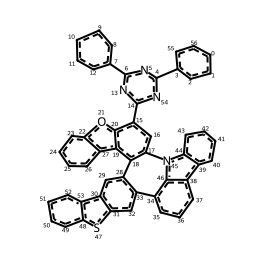 c1ccc(-c2nc(-c3ccccc3)nc(-c3cc4c(c5c3oc3ccccc35)-c3cc5c(cc3-c3cccc6c7ccccc7n-4c36)sc3ccccc35)n2)cc1